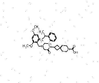 COc1ccc(CN2CC(=O)N(C3CC4(CCN(C(=O)O)CC4)C3)[C@@H](c3ccccc3C(C)C)C2)c(OC)c1